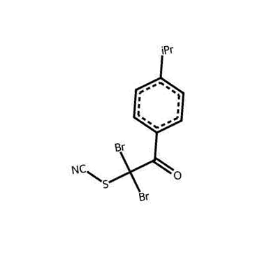 CC(C)c1ccc(C(=O)C(Br)(Br)SC#N)cc1